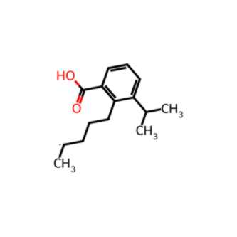 C[CH]CCCc1c(C(=O)O)cccc1C(C)C